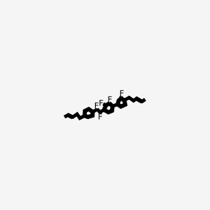 C/C=C/CCc1ccc(C(F)C(F)c2ccc(-c3ccc(CC/C=C/C)c(F)c3)c(F)c2F)cc1